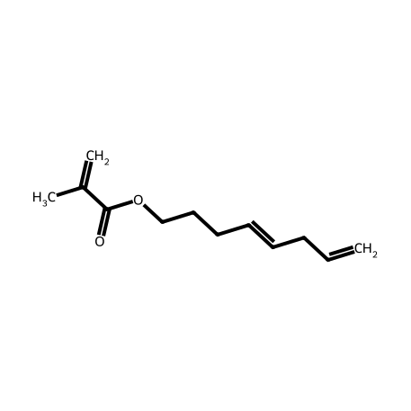 C=CC/C=C/CCCOC(=O)C(=C)C